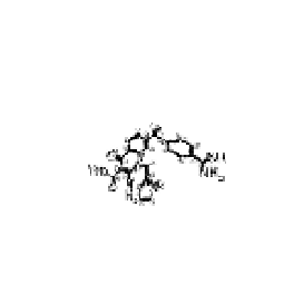 N=C(N)c1ccc(C(=O)c2ccc3c(=O)c(C(=O)O)c(N)n(Cc4nccs4)c3c2)cc1